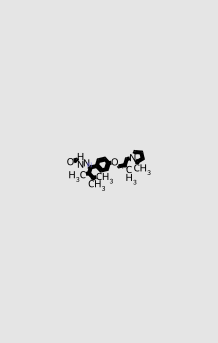 CC(C)C(C)/C(=N\NC=O)c1ccc(OC[C@@H](C)CN2CCCC2C)cc1